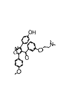 COc1ccc(-c2onc(-c3ccc(O)cc3)c2C(=O)c2cccc(OCCN(C)C)c2)cc1